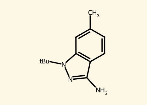 Cc1ccc2c(N)nn(C(C)(C)C)c2c1